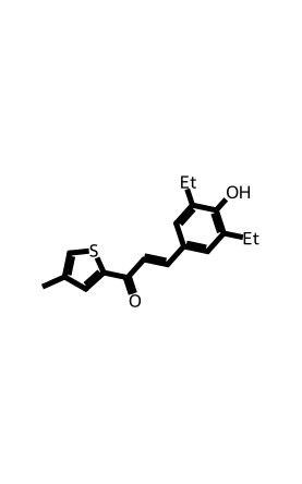 CCc1cc(C=CC(=O)c2cc(C)cs2)cc(CC)c1O